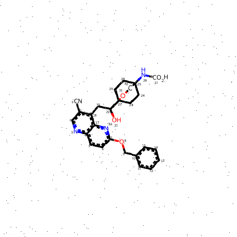 N#Cc1cnc2ccc(OCc3ccccc3)nc2c1CC(O)C12CCC(NC(=O)O)(CC1)CO2